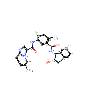 Cc1ccc2ncc(C(=O)Nc3cc(C(=O)N[C@@H]4c5cc(F)ccc5C[C@@H]4O)c(C)cc3F)n2c1